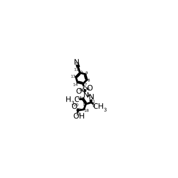 Cc1nn(S(=O)(=O)c2ccc(C#N)cc2)c(C)c1CC(=O)O